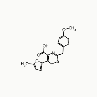 COc1ccc(CC2=NC(C(=O)O)=C(c3ccc(C)o3)CS2)cc1